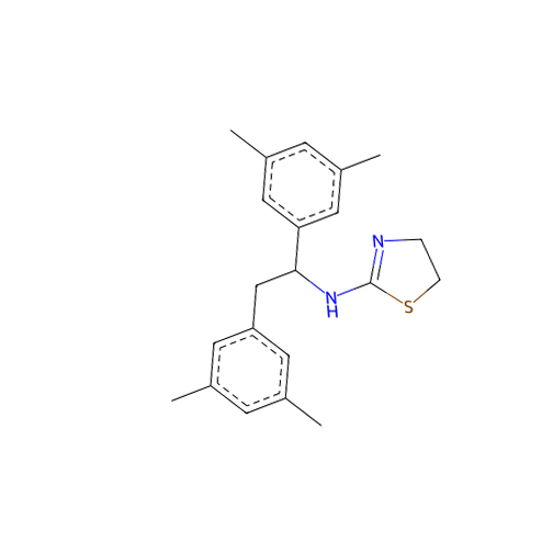 Cc1cc(C)cc(CC(NC2=NCCS2)c2cc(C)cc(C)c2)c1